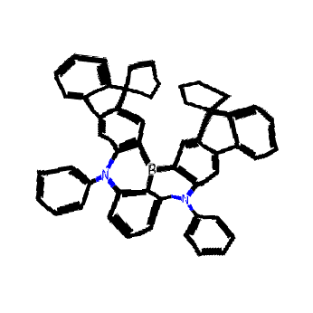 c1ccc(N2c3cc4c(cc3B3c5cc6c(cc5N(c5ccccc5)c5cccc2c53)-c2ccccc2C62CCCC2)C2(CCCC2)c2ccccc2-4)cc1